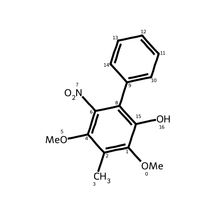 COc1c(C)c(OC)c([N+](=O)[O-])c(-c2ccccc2)c1O